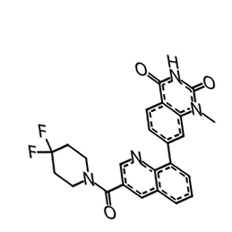 Cn1c(=O)[nH]c(=O)c2ccc(-c3cccc4cc(C(=O)N5CCC(F)(F)CC5)cnc34)cc21